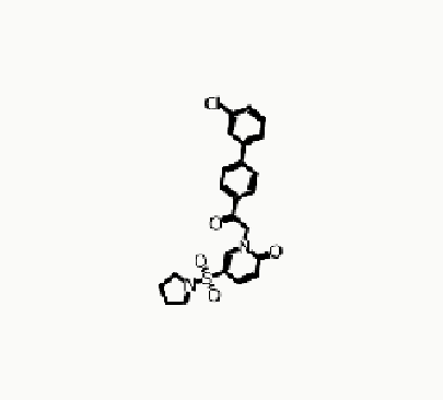 O=C(Cn1cc(S(=O)(=O)N2CCCC2)ccc1=O)c1ccc(-c2cccc(Cl)c2)cc1